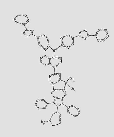 CC1C=C(c2c(-c3ccccc3)c3cc4c(cc3n2-c2ccccc2)C(C)(C)c2cc(-c3ccc(N(c5ccc(-c6ccc(-c7ccccc7)o6)cc5)c5ccc(-c6ccc(-c7ccccc7)o6)cc5)c5ccccc35)ccc2-4)C=CC1